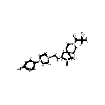 CN1C(=O)C2(CCN(C(=O)C(C)(C)C(F)(F)F)CC2)C[C@@H]1CCN1CCN(c2ccc(F)cc2)CC1